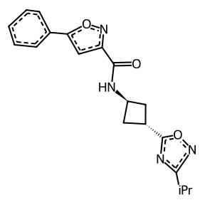 CC(C)c1noc([C@H]2C[C@H](NC(=O)c3cc(-c4ccccc4)on3)C2)n1